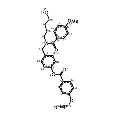 CCCCCCCOc1ccc(C(=O)Oc2ccc(CN(CCCCO)C(=O)c3ccc(OC)cc3)cc2)cc1